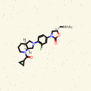 CC(=O)NC[C@H]1CN(c2ccc(N3C[C@@H]4CCCN(C(=O)C5CC5)[C@@H]4C3)c(F)c2)C(=O)O1